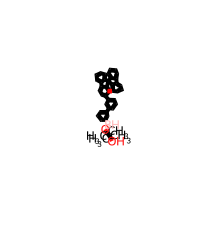 CC(C)(O)C(C)(C)OBc1cccc(-c2cccc(-c3ccc4c(c3)C3(c5ccccc5-c5ccccc53)c3ccccc3-4)c2)c1